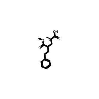 COC(=O)C(CCc1ccccc1)C[C@@H](C)C(=O)O